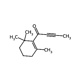 CC#CC(=O)C1=C(C)CCCC1(C)C